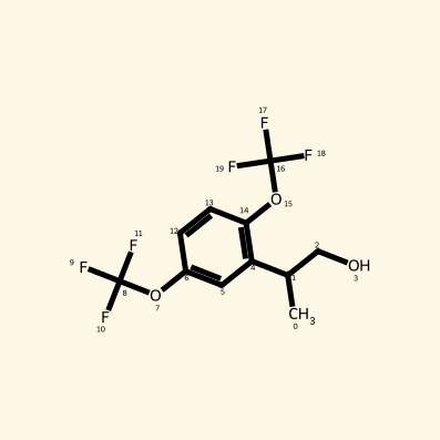 C[C](CO)c1cc(OC(F)(F)F)ccc1OC(F)(F)F